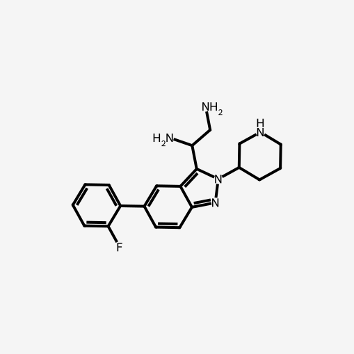 NCC(N)c1c2cc(-c3ccccc3F)ccc2nn1C1CCCNC1